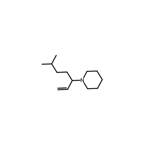 C=CC(CCC(C)C)N1CCCCC1